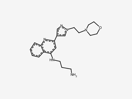 NCCCNc1cc(-c2cnn(CCN3CCOCC3)c2)nc2ccccc12